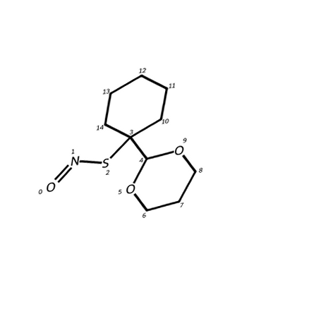 O=NSC1(C2OCCCO2)CCCCC1